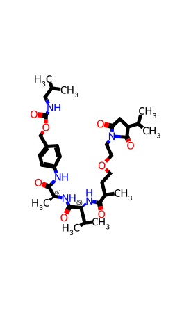 CC(C)CNC(=O)OCc1ccc(NC(=O)[C@H](C)NC(=O)[C@@H](NC(=O)C(C)CCOCCN2C(=O)CC(C(C)C)C2=O)C(C)C)cc1